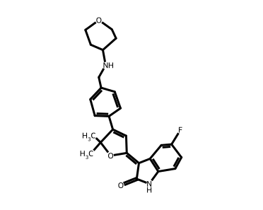 CC1(C)OC(=C2C(=O)Nc3ccc(F)cc32)C=C1c1ccc(CNC2CCOCC2)cc1